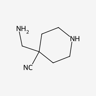 N#CC1(CN)CCNCC1